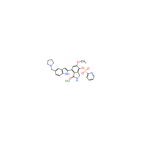 COc1cc(-c2cc3cc(CN4CCCC4)ccc3[nH]2)c2c(c1OS(=O)(=O)c1ccccn1)CNC2=O.Cl